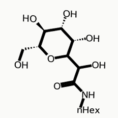 CCCCCCNC(=O)C(O)C1O[C@H](CO)[C@@H](O)[C@H](O)[C@@H]1O